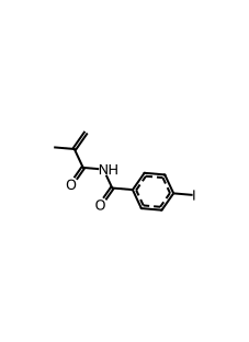 C=C(C)C(=O)NC(=O)c1ccc(I)cc1